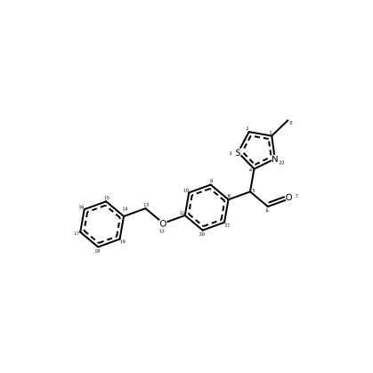 Cc1csc(C(C=O)c2ccc(OCc3ccccc3)cc2)n1